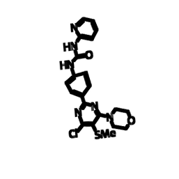 CSc1c(Cl)nc(-c2ccc(NC(=O)Nc3ccccn3)cc2)nc1N1CCOCC1